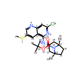 CSc1cnc2cc(Cl)nc(N[C@H]3C[C@H]4CC[C@@H](C3)N4C(=O)OC(C)(C)C)c2c1